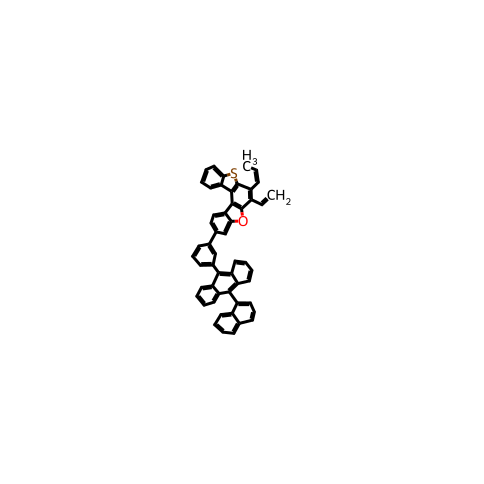 C=Cc1c(/C=C\C)c2sc3ccccc3c2c2c1oc1cc(-c3cccc(-c4c5ccccc5c(-c5cccc6ccccc56)c5ccccc45)c3)ccc12